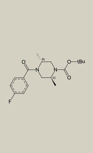 C[C@@H]1CN(C(=O)OC(C)(C)C)[C@@H](C)CN1C(=O)c1ccc(F)cc1